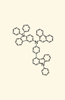 c1ccc(-n2c3ccccc3c3c(-c4ccc(N(c5ccc6c(c5)-c5ccccc5[Si]6(c5ccccc5)c5ccccc5)c5cc6ccccc6c6ccccc56)cc4)cccc32)cc1